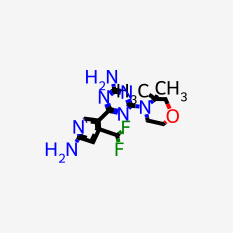 CC1(C)COCCN1c1nc(N)nc(-c2cnc(N)cc2C(F)F)n1